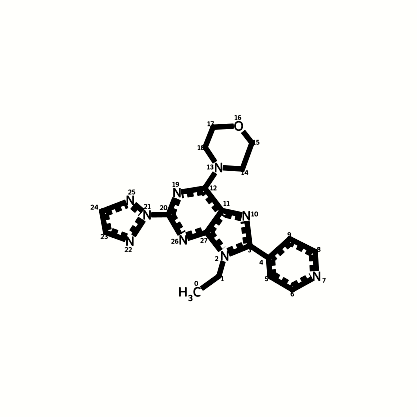 CCn1c(-c2ccncc2)nc2c(N3CCOCC3)nc(-n3nccn3)nc21